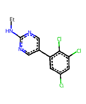 CCNc1ncc(-c2cc(Cl)cc(Cl)c2Cl)cn1